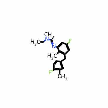 CCN(C)C=Nc1cc(F)cc(Cc2ccc(F)c(C)c2)c1C